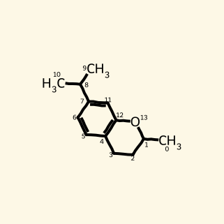 CC1CCc2ccc(C(C)C)cc2O1